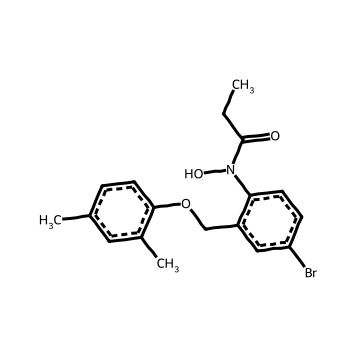 CCC(=O)N(O)c1ccc(Br)cc1COc1ccc(C)cc1C